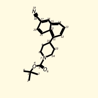 CC(C)(C)OC(=O)N1CCC(c2cccc3cc(C#N)ccc23)CC1